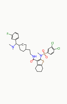 CN(C)C(c1cccc(F)c1)C1CCC(CCNC(=O)c2c(N(C)S(=O)(=O)c3ccc(Cl)c(Cl)c3)sc3c2CCCC3)CC1